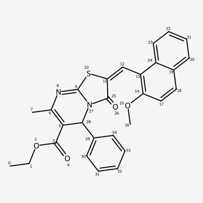 CCOC(=O)C1=C(C)N=c2s/c(=C/c3c(OC)ccc4ccccc34)c(=O)n2C1c1ccccc1